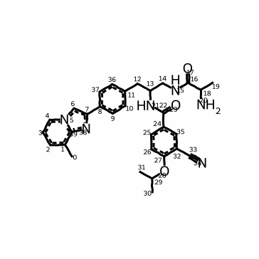 Cc1cccn2cc(-c3ccc(CC(CNC(=O)C(C)N)NC(=O)c4ccc(OC(C)C)c(C#N)c4)cc3)nc12